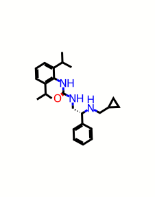 CC(C)c1cccc(C(C)C)c1NC(=O)NC[C@H](NCC1CC1)c1ccccc1